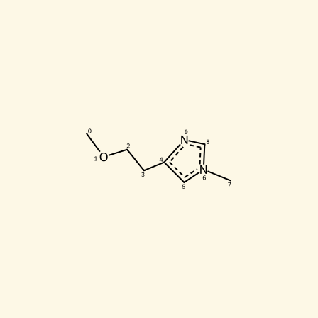 COCCc1cn(C)cn1